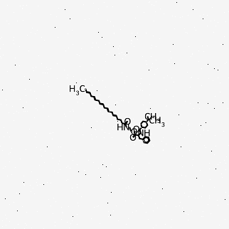 CCC=CCC=CCC=CCC=CCC=CCCCC(=O)NCCOC(=O)C(Cc1ccccc1)NC(=O)C1CCC(C(C)C)CC1